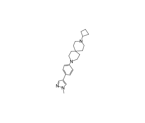 Cn1cc(-c2ccc(N3CCC4(CC3)CCN(C3CCC3)CC4)cc2)cn1